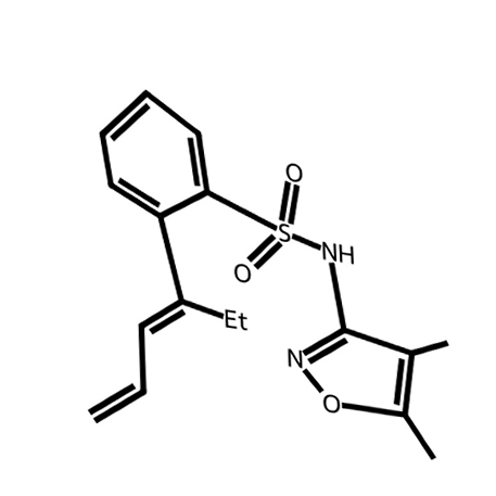 C=C/C=C(\CC)c1ccccc1S(=O)(=O)Nc1noc(C)c1C